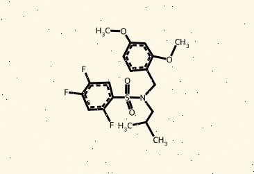 COc1ccc(CN(CC(C)C)S(=O)(=O)c2cc(F)c(F)cc2F)c(OC)c1